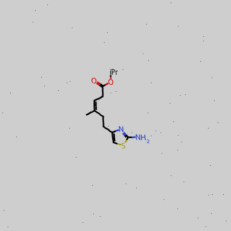 C/C(=C/CC(=O)OC(C)C)CCc1csc(N)n1